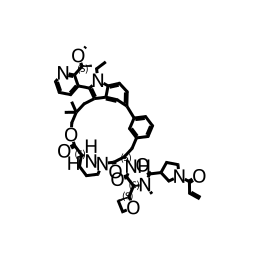 C=CC(=O)N1CCC(C(=O)N(C)[C@H](C(=O)N[C@H]2Cc3cccc(c3)-c3ccc4c(c3)c(c(-c3cccnc3[C@H](C)OC)n4CC)CC(C)(C)COC(=O)[C@@H]3CCCN(N3)C2=O)[C@@H]2CCO2)C1